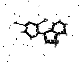 Clc1[c]c(Cl)c(-c2c[nH]c3ccccc23)cc1